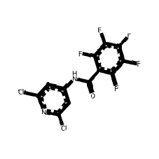 O=C(Nc1cc(Cl)nc(Cl)c1)c1c(F)c(F)c(F)c(F)c1F